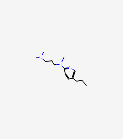 CC[C@H](C)c1ccc(N(C)CCCN(C)C)nc1